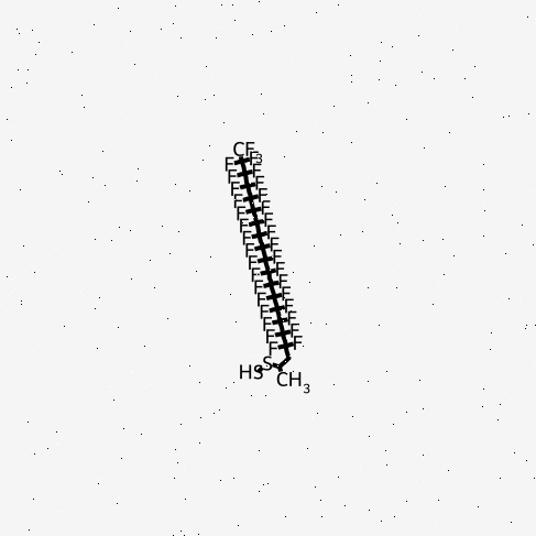 CC(CC(F)(F)C(F)(F)C(F)(F)C(F)(F)C(F)(F)C(F)(F)C(F)(F)C(F)(F)C(F)(F)C(F)(F)C(F)(F)C(F)(F)C(F)(F)C(F)(F)C(F)(F)C(F)(F)C(F)(F)F)SS